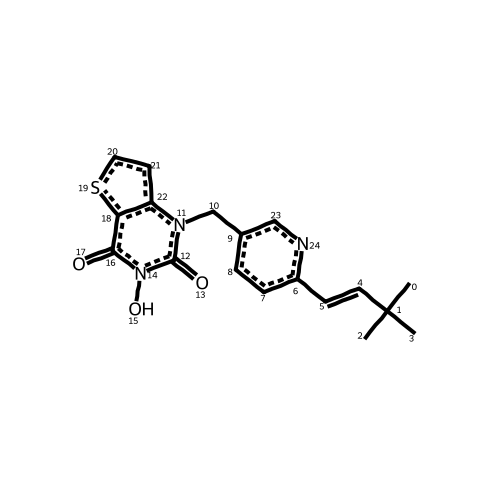 CC(C)(C)/C=C/c1ccc(Cn2c(=O)n(O)c(=O)c3sccc32)cn1